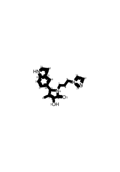 CC1=C(O)C(=O)N(CCCn2ccnc2)C1c1ccc2[nH]ccc2c1